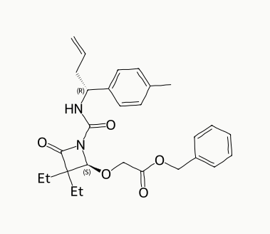 C=CC[C@@H](NC(=O)N1C(=O)C(CC)(CC)[C@@H]1OCC(=O)OCc1ccccc1)c1ccc(C)cc1